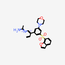 C=C/C(=C\N=C(/C)N)c1cc(N2CCOCC2)cc(S(=O)(=O)c2cccc3ccoc23)c1